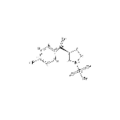 CC(C)S(=O)(=O)N1CC[C@H](C(=O)c2ccc(F)cc2)C1